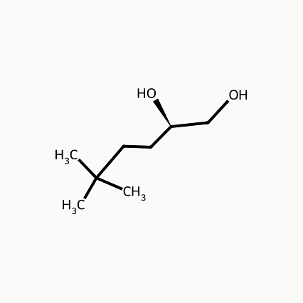 CC(C)(C)CC[C@@H](O)CO